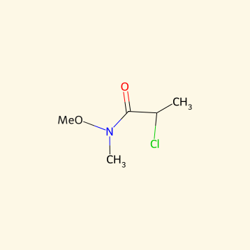 CON(C)C(=O)C(C)Cl